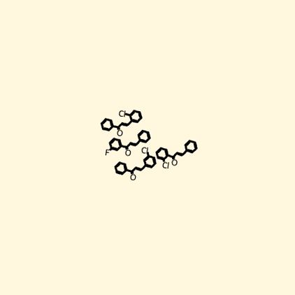 O=C(C=Cc1cccc(Cl)c1)c1ccccc1.O=C(C=Cc1ccccc1)c1cccc(F)c1.O=C(C=Cc1ccccc1)c1ccccc1Cl.O=C(C=Cc1ccccc1Cl)c1ccccc1